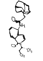 C[C@H](CO)n1ccc2c(NC(=O)CC34CC5CC(CC(C5)C3)C4)cccc2c1=O